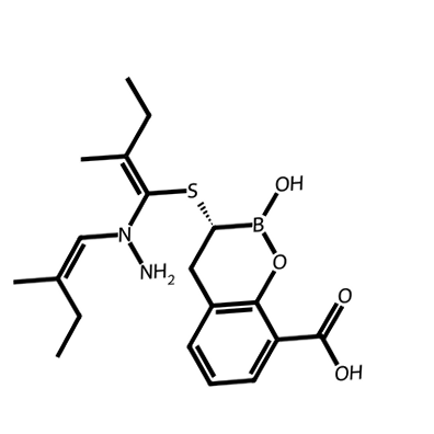 CC/C(C)=C\N(N)/C(S[C@H]1Cc2cccc(C(=O)O)c2OB1O)=C(\C)CC